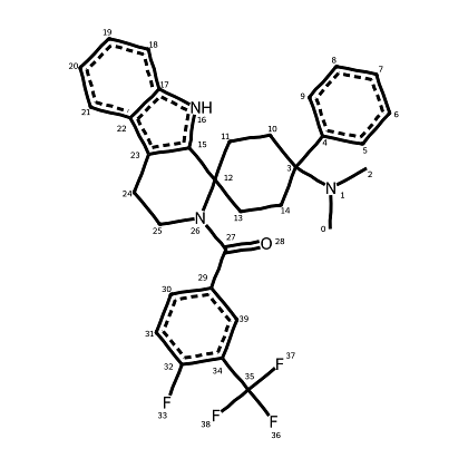 CN(C)C1(c2ccccc2)CCC2(CC1)c1[nH]c3ccccc3c1CCN2C(=O)c1ccc(F)c(C(F)(F)F)c1